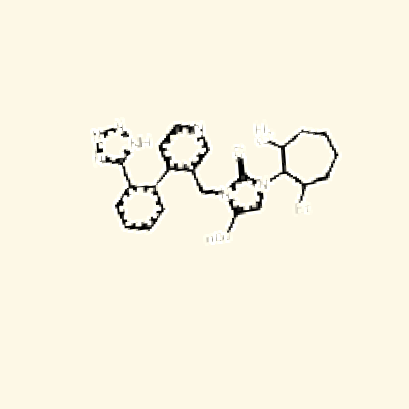 CCCCc1cn(C2C(C)CCCCC2CC)c(=O)n1Cc1cnccc1-c1ccccc1-c1nnn[nH]1